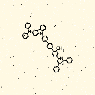 Cc1cc(-c2cc(-c3ccccc3)nc(-c3ccccc3)n2)ccc1-c1ccc(-c2ccc(-n3c4ccccc4c4cc(N(c5ccccc5)c5ccccc5)ccc43)cc2)cc1